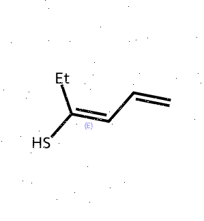 C=C/C=C(/S)CC